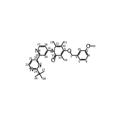 COc1cccc(COc2c(C)c(C)n(-c3ccnc(-c4ccnc(C(C)(C)C)n4)c3)c(=O)c2C)c1